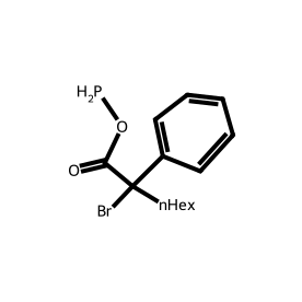 CCCCCCC(Br)(C(=O)OP)c1ccccc1